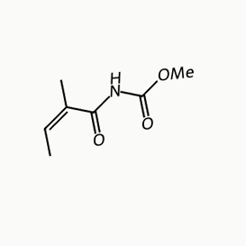 C/C=C(/C)C(=O)NC(=O)OC